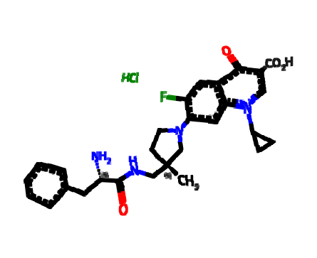 C[C@@]1(CNC(=O)[C@@H](N)Cc2ccccc2)CCN(c2cc3c(cc2F)c(=O)c(C(=O)O)cn3C2CC2)C1.Cl